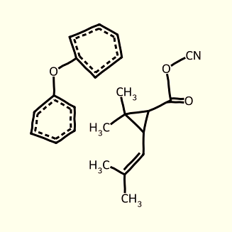 CC(C)=CC1C(C(=O)OC#N)C1(C)C.c1ccc(Oc2ccccc2)cc1